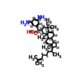 CC(C)=CCCCC(C)C1CCC2C3CC=C4C(C)(C)CC(C(OO)c5cc(N)cc(N)c5)CC4(C)C3CCC12C